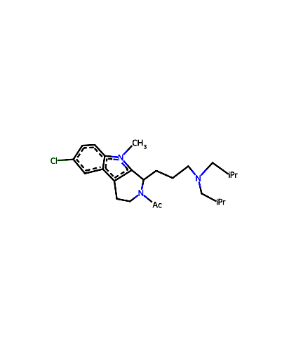 CC(=O)N1CCc2c(n(C)c3ccc(Cl)cc23)C1CCCN(CC(C)C)CC(C)C